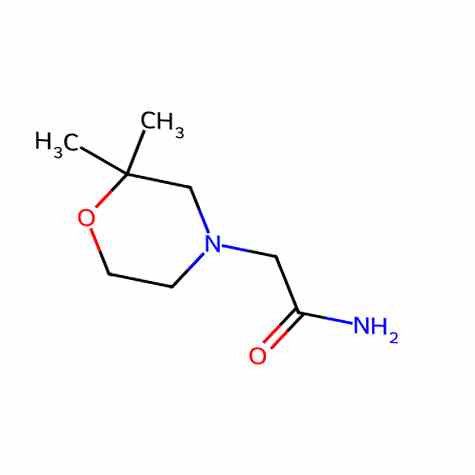 CC1(C)CN(CC(N)=O)CCO1